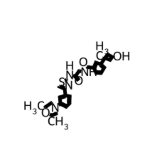 C[C@@H]1CN(c2cccc(-c3csc(NC(=O)CNC(=O)c4cccc([C@]5(C)C[C@@H](O)C5)c4)n3)c2)C[C@H](C)O1